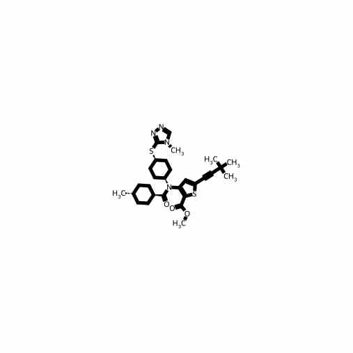 COC(=O)c1sc(C#CC(C)(C)C)cc1N(C(=O)[C@H]1CC[C@H](C)CC1)[C@H]1CC[C@@H](Sc2nncn2C)CC1